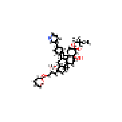 CC1(C)COC2(CC[C@@]34Cc5cc(-c6cccnc6)ccc5C5C[C@@]6(C)[C@H](CC[C@]6(O)CCCOC6CCCCO6)[C@H](CC[C@@]3(O)C2)C54)OC1